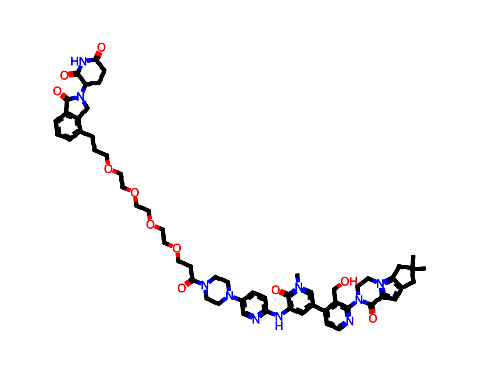 Cn1cc(-c2ccnc(N3CCn4c(cc5c4CC(C)(C)C5)C3=O)c2CO)cc(Nc2ccc(N3CCN(C(=O)CCOCCOCCOCCOCCCc4cccc5c4CN(C4CCC(=O)NC4=O)C5=O)CC3)cn2)c1=O